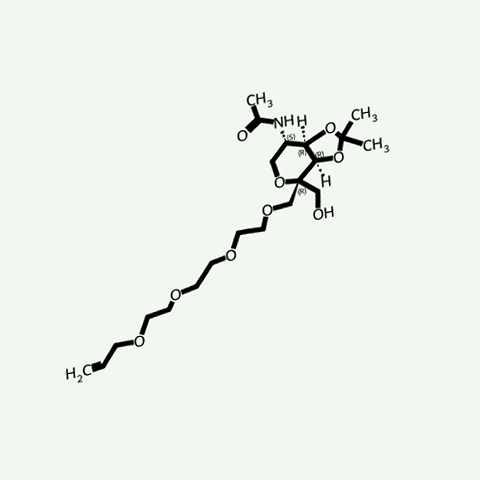 C=CCOCCOCCOCCOC[C@@]1(CO)OC[C@H](NC(C)=O)[C@H]2OC(C)(C)O[C@H]21